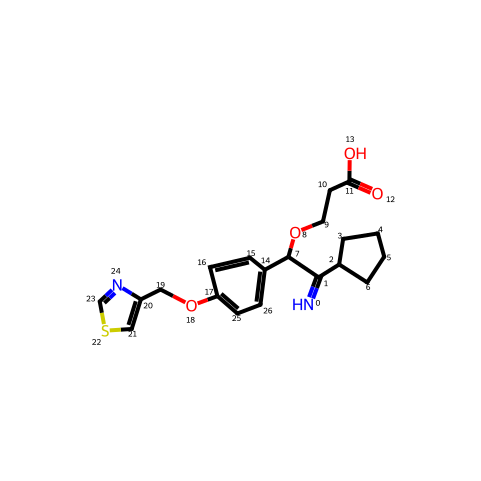 N=C(C1CCCC1)C(OCCC(=O)O)c1ccc(OCc2cscn2)cc1